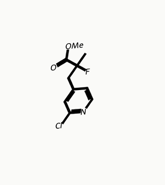 COC(=O)C(C)(F)Cc1ccnc(Cl)c1